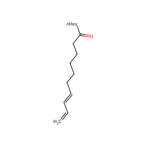 C=C/C=C/CCCCCC(=O)CCCCCC